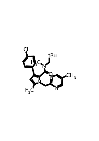 Cc1cnc(Cn2c(C(F)(F)F)cc(-c3ccc(Cl)cc3)c2C(=O)N(C)CC(C)(C)C)nc1